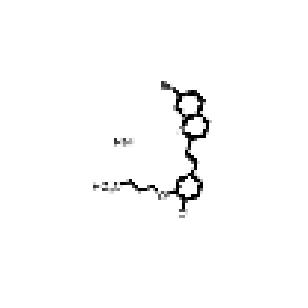 O=C(O)CCCOc1cc(/C=C/c2ccc3ccc(Br)cc3n2)ccc1Cl.[NaH]